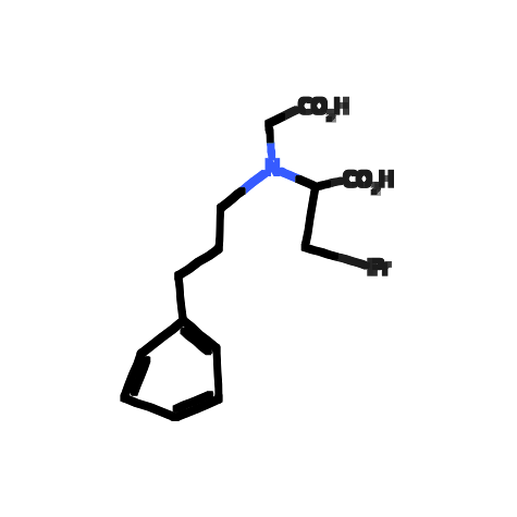 CC(C)CC(C(=O)O)N(CCCc1ccccc1)CC(=O)O